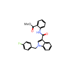 COC(=O)c1ccccc1NC(=O)c1cn(Cc2ccc(F)cc2)c2ccccc12